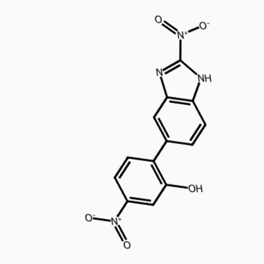 O=[N+]([O-])c1ccc(-c2ccc3[nH]c([N+](=O)[O-])nc3c2)c(O)c1